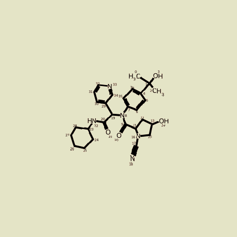 CC(C)(O)c1ccc(N(C(=O)C2CC(O)CN2C#N)C(C(=O)NC2CCCCC2)c2cccnc2)cc1